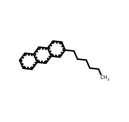 CCCCCCc1[c]cc2cc3ccccc3cc2c1